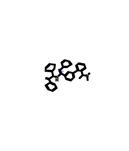 C=C(c1ccccc1)C(N/C(=C(\C)c1ccccc1)c1cccc(-c2ccccc2C(C)N(C)C)c1)C1=CC=CCC1